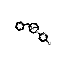 Clc1ccc(N2CC3CCCC2CN3Cc2ccccc2)nc1